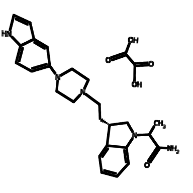 CC(C(N)=O)N1C[C@@H](CCN2CCN(c3ccc4[nH]ccc4c3)CC2)c2ccccc21.O=C(O)C(=O)O